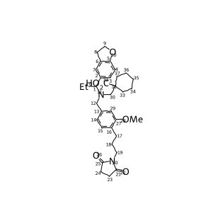 CCC(c1ccc2c(c1)CCO2)N(Cc1ccc(CCCN2C(=O)CCC2=O)c(OC)c1)CC1(C(=O)O)CCCCC1